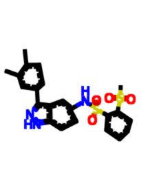 Cc1ccc(-c2n[nH]c3ccc(NS(=O)(=O)c4ccccc4S(C)(=O)=O)cc23)cc1C